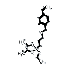 C=Cc1ccc(COCCC[Si](OCC)(OCC)OCC)cc1